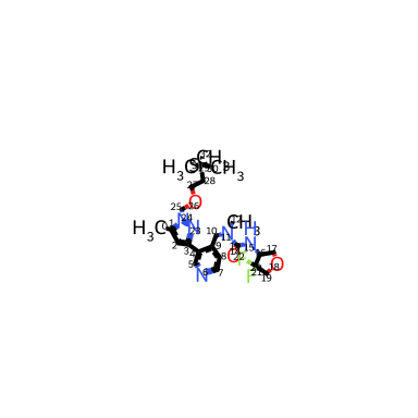 Cc1cc(-c2cnccc2CN(C)C(=O)NC2COCC2(F)F)nn1COCC[Si](C)(C)C